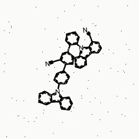 N#Cc1cc(-c2ccccc2-n2c3ccccc3c3cccc(C#N)c32)ccc1-c1ccc(-n2c3ccccc3c3ccccc32)cc1